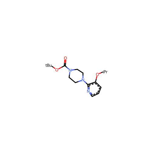 CC(C)Oc1cccnc1N1CCN(C(=O)OC(C)(C)C)CC1